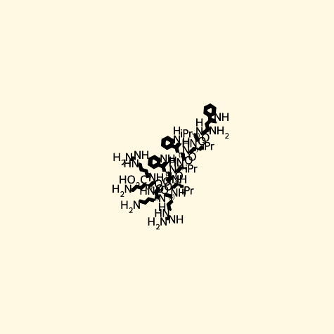 CC(C)C[C@H](NC(=O)[C@H](Cc1c[nH]c2ccccc12)NC(=O)[C@@H](NC(=O)[C@H](Cc1c[nH]c2ccccc12)NC(=O)[C@H](CC(C)C)NC(=O)[C@@H](NC(=O)[C@@H](N)Cc1c[nH]c2ccccc12)C(C)C)C(C)C)C(=O)N[C@@H](CCCNC(=N)N)C(=O)N[C@@H](CCCCN)C(=O)N[C@@H](CCCCN)C(=O)N[C@@H](CCCNC(=N)N)C(=O)O